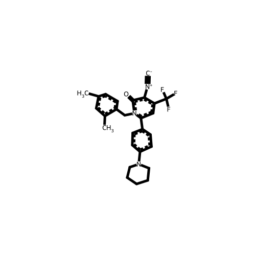 [C-]#[N+]c1c(C(F)(F)F)cc(-c2ccc(N3CCCCC3)cc2)n(Cc2ccc(C)cc2C)c1=O